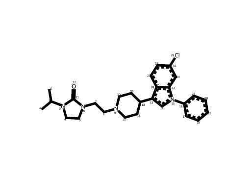 CC(C)N1CCN(CCN2CCC(c3cn(-c4ccccc4)c4cc(Cl)ccc34)CC2)C1=O